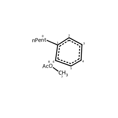 CCCCCc1ccccc1.COC(C)=O